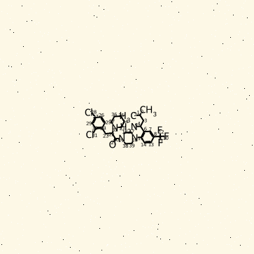 CC(C)CC(N)c1cc(C(F)(F)F)ccc1N1CCN(C(=O)C(Cc2ccc(Cl)cc2Cl)N2CCCCC2)CC1